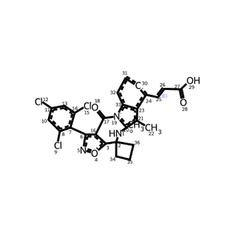 CNC1(c2onc(-c3c(Cl)cc(Cl)cc3Cl)c2C(=O)n2cc(C)c3c(/C=C/C(=O)O)cccc32)CCC1